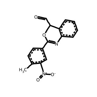 Cc1ccc(C2=Nc3ccccc3C(C=O)O2)cc1[N+](=O)[O-]